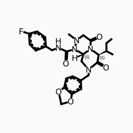 CCC(C)[C@H]1C(=O)N(Cc2ccc3c(c2)OCO3)C[C@H]2N1C(=O)CN(C)N2C(=O)NCc1ccc(F)cc1